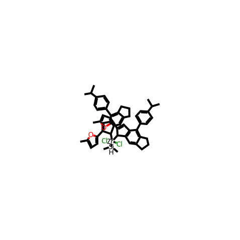 Cc1ccc(C2=Cc3c(cc4c(c3-c3ccc(C(C)C)cc3)CCC4)[CH]2[Zr]([Cl])([Cl])([CH]2C(c3ccc(C)o3)=Cc3c2cc2c(c3-c3ccc(C(C)C)cc3)CCC2)[SiH](C)C)o1